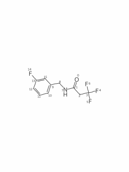 O=C(CC(F)(F)F)NCc1cccc(F)c1